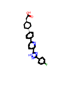 O=C(O)C[C@H]1CC[C@H](c2ccc(-c3ccc(-c4nc(-c5ccc(F)cc5)n[nH]4)cn3)cc2)CC1